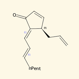 C=CC[C@@H]1C=CC(=O)/C1=C/C=C/CCCCC